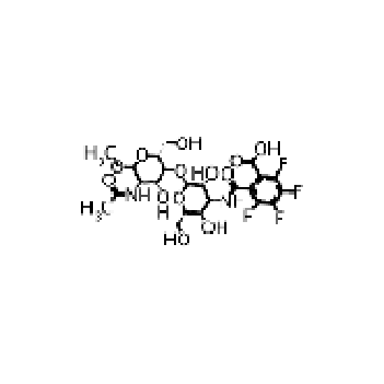 COC1O[C@H](CO)[C@@H](O[C@@H]2O[C@H](CO)[C@H](O)[C@H](NC(=O)c3c(F)c(F)c(F)c(F)c3C(=O)O)[C@H]2O)[C@H](O)[C@H]1NC(C)=O